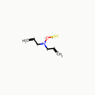 C=CCN(CC=C)OS